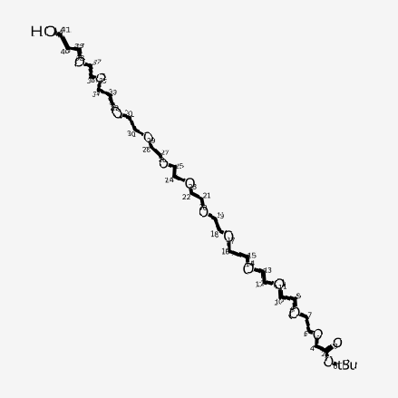 CC(C)(C)OC(=O)COCCOCCOCCOCCOCCOCCOCCOCCOCCOCCOCCOCCCO